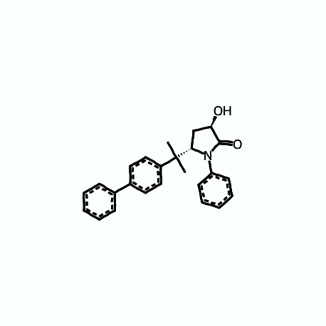 CC(C)(c1ccc(-c2ccccc2)cc1)[C@@H]1C[C@@H](O)C(=O)N1c1ccccc1